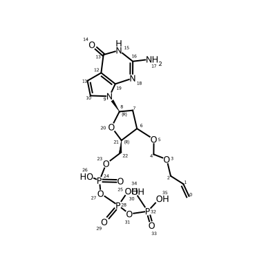 C=CCOCOC1C[C@H](n2ccc3c(=O)[nH]c(N)nc32)O[C@@H]1COP(=O)(O)OP(=O)(O)OP(=O)(O)O